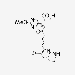 COc1ncc([C@H](CC(=O)O)CC(=O)CCCCc2nc3c(cc2C2CC2)CCCN3)cn1